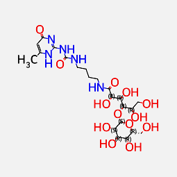 Cc1cc(=O)nc(NC(=O)NCCCCNC(=O)[C@H](O)[C@@H](O)[C@H](O[C@@H]2O[C@H](CO)[C@H](O)[C@@H](O)[C@@H]2O)[C@H](O)CO)[nH]1